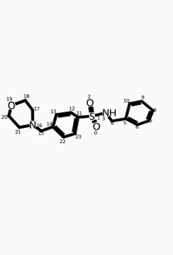 O=S(=O)(NCc1ccccc1)c1ccc(CN2CCOCC2)cc1